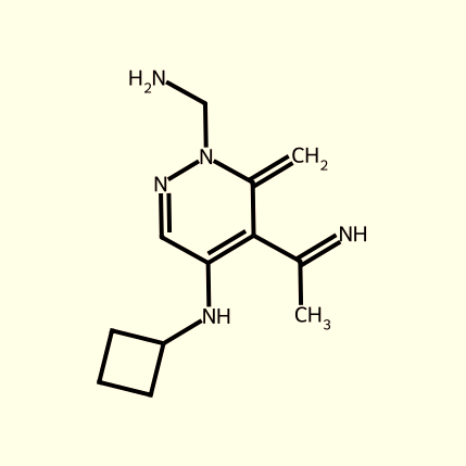 C=C1C(C(C)=N)=C(NC2CCC2)C=NN1CN